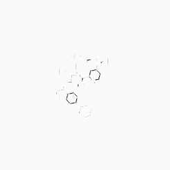 CCC(OC(=O)C(C)NC(=O)c1nccc(OC)c1OC(C)=O)c1ccc(C2CCCCC2)cc1